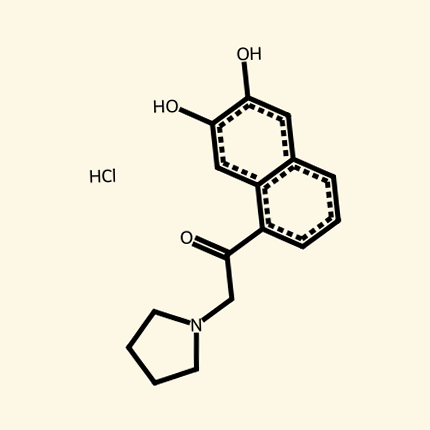 Cl.O=C(CN1CCCC1)c1cccc2cc(O)c(O)cc12